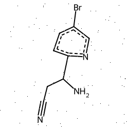 N#CCC(N)c1ccc(Br)cn1